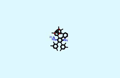 Cc1cc(C)c(C)c(-c2c(NN)c(-c3cc(C)cc(C)c3C)c3c([nH]c4cccc(-c5cc(C)cc(C)c5C)c43)c2-c2cc(C)cc(C)c2C)c1